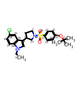 CCn1cc(C2CCN(S(=O)(=O)c3ccc(OC(C)(C)C)cc3)C2)c2cc(Cl)ccc21